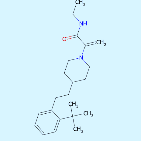 C=C(C(=O)NCC)N1CCC(CCc2ccccc2C(C)(C)C)CC1